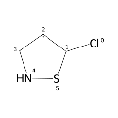 ClC1[CH]CNS1